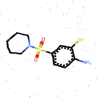 Nc1ccc(S(=O)(=O)N2CCCCC2)cc1S